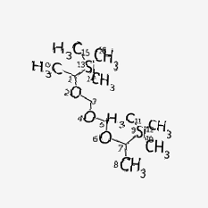 CC(OCOCOC(C)[Si](C)(C)C)[Si](C)(C)C